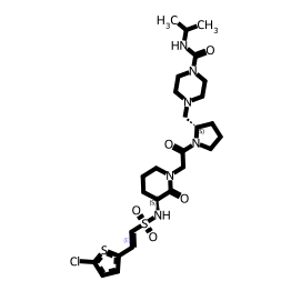 CC(C)NC(=O)N1CCN(C[C@@H]2CCCN2C(=O)CN2CCC[C@H](NS(=O)(=O)/C=C/c3ccc(Cl)s3)C2=O)CC1